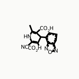 CC1=C(C(=O)O)C(c2cccc3nonc23)C(C(=O)O)=C(C#N)N1